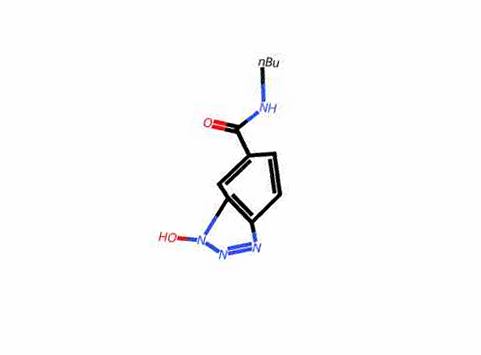 CCCCNC(=O)c1ccc2nnn(O)c2c1